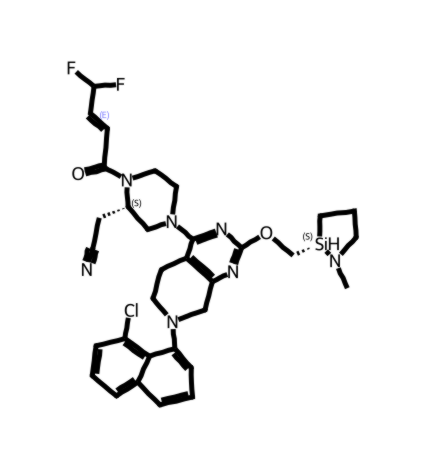 CN1CCC[Si@H]1COc1nc2c(c(N3CCN(C(=O)/C=C/C(F)F)[C@@H](CC#N)C3)n1)CCN(c1cccc3cccc(Cl)c13)C2